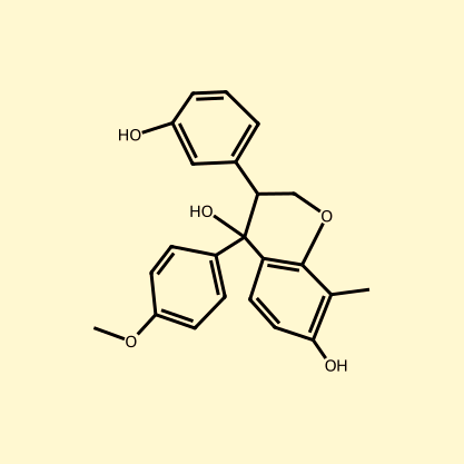 COc1ccc(C2(O)c3ccc(O)c(C)c3OCC2c2cccc(O)c2)cc1